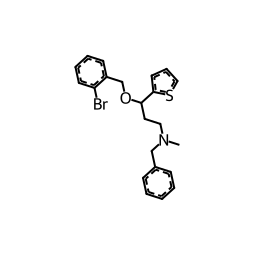 CN(CCC(OCc1ccccc1Br)c1cccs1)Cc1ccccc1